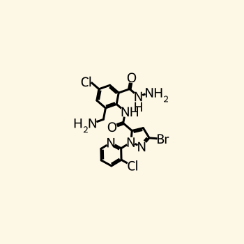 NCc1cc(Cl)cc(C(=O)NN)c1NC(=O)c1cc(Br)nn1-c1ncccc1Cl